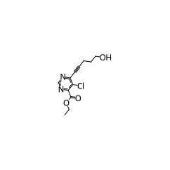 CCOC(=O)c1ncnc(C#CCCCO)c1Cl